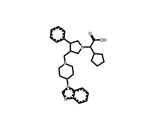 O=C(O)C(C1CCCC1)N1CC(CN2CCC(n3cnc4ccccc43)CC2)C(c2ccccc2)C1